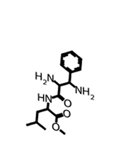 COC(=O)C(CC(C)C)NC(=O)C(N)C(N)c1ccccc1